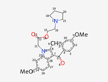 COc1ccc(C(=O)c2c(C)n(CC(=O)OCCN3CCCC3)c3cc(OC)ccc23)cc1